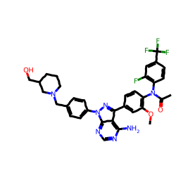 COc1cc(-c2nn(-c3ccc(CN4CCCC(CO)C4)cc3)c3ncnc(N)c23)ccc1N(C(C)=O)c1ccc(C(F)(F)F)cc1F